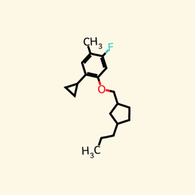 CCCC1CCC(COc2cc(F)c(C)cc2C2CC2)C1